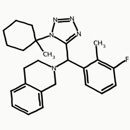 Cc1c(F)cccc1C(c1nnnn1C1(C)CCCCC1)N1CCc2ccccc2C1